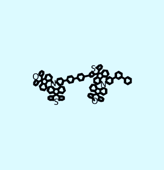 c1ccc(-c2cccc(-c3ccc(N(c4cccc5c4-c4ccccc4C54c5ccccc5Oc5ccccc54)c4cccc5c4-c4ccccc4C54c5ccccc5Sc5cc(-c6ccc(-c7ccc(-c8ccc(N(c9cccc%10c9-c9ccccc9C%109c%10ccccc%10Oc%10ccccc%109)c9cccc%10c9-c9ccccc9C%109c%10ccccc%10Sc%10ccccc%109)cc8)cc7)cc6)ccc54)cc3)c2)cc1